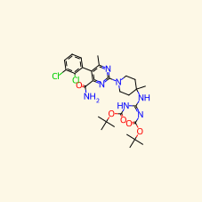 Cc1nc(N2CCC(C)(N/C(=N/C(=O)OC(C)(C)C)NC(=O)OC(C)(C)C)CC2)nc(C(N)=O)c1-c1cccc(Cl)c1Cl